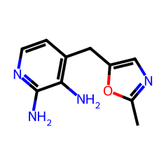 Cc1ncc(Cc2ccnc(N)c2N)o1